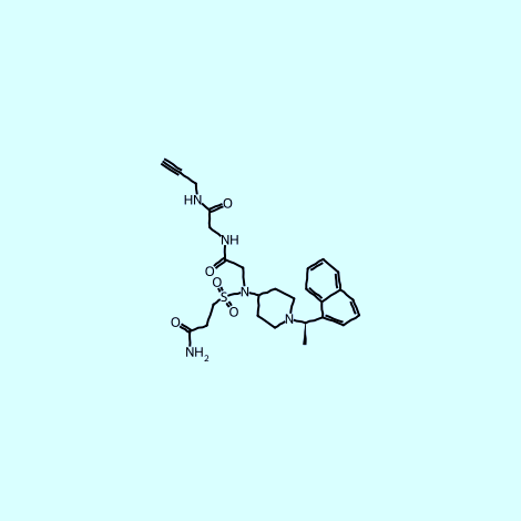 C#CCNC(=O)CNC(=O)CN(C1CCN([C@H](C)c2cccc3ccccc23)CC1)S(=O)(=O)CCC(N)=O